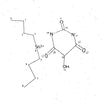 CCC[CH2][Sn+2][CH2]CCC.O=C1[N-]C(=O)C(O)C(=O)[N-]1